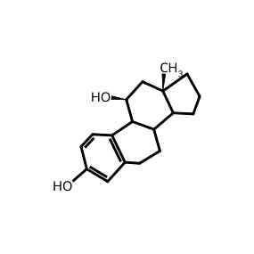 C[C@@]12CCCC1C1CCc3cc(O)ccc3C1[C@@H](O)C2